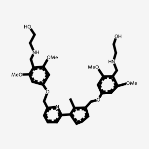 COc1cc(OCc2cccc(-c3cccc(COc4cc(OC)c(CNCCO)c(OC)c4)c3C)n2)cc(OC)c1CNCCO